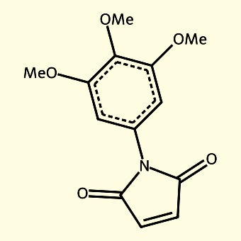 COc1cc(N2C(=O)C=CC2=O)cc(OC)c1OC